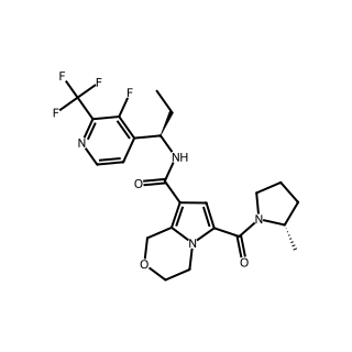 CC[C@@H](NC(=O)c1cc(C(=O)N2CCC[C@@H]2C)n2c1COCC2)c1ccnc(C(F)(F)F)c1F